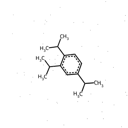 CC(C)c1[c]c(C(C)C)c(C(C)C)cc1